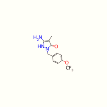 Cc1c(N)[nH]n(Cc2ccc(OC(F)(F)F)cc2)c1=O